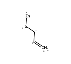 C=CC[S][Zn]